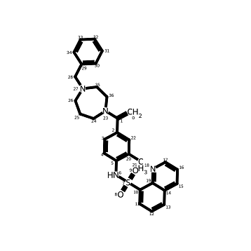 C=C(c1ccc(NS(=O)(=O)c2cccc3cccnc23)c(C)c1)N1CCCN(Cc2ccccc2)CC1